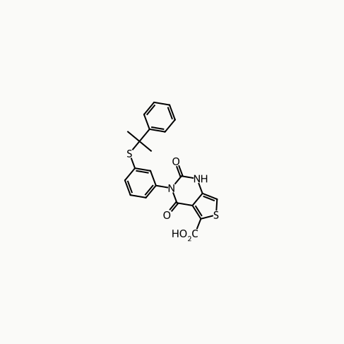 CC(C)(Sc1cccc(-n2c(=O)[nH]c3csc(C(=O)O)c3c2=O)c1)c1ccccc1